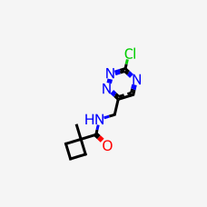 CC1(C(=O)NCc2cnc(Cl)nn2)CCC1